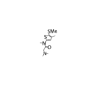 CSc1sc(N(C)C(=O)CN(C)C)cc1C